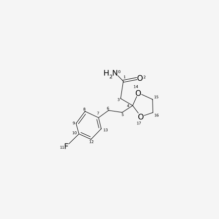 NC(=O)CC1(CCc2ccc(F)cc2)OCCO1